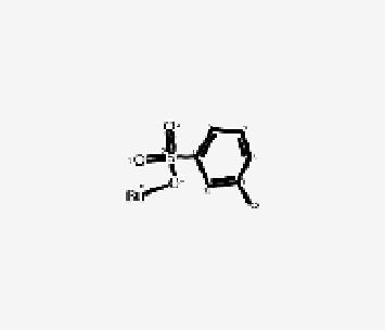 CCC(C)OS(=O)(=O)c1cccc(C)c1